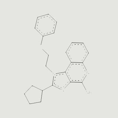 Nc1nc2ccccc2c2c1nc(C1CCCC1)n2CCOc1ccccc1